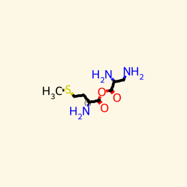 CSCC[C@H](N)C(=O)OC(=O)C(N)CN